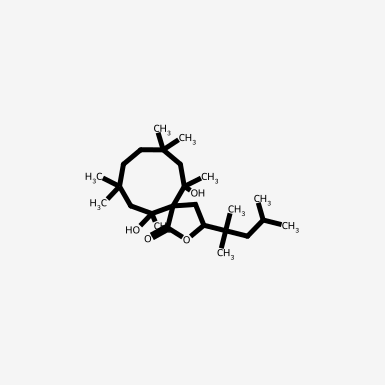 CC(C)CC(C)(C)C1CC2(C(=O)O1)C(C)(O)CC(C)(C)CCC(C)(C)CC2(C)O